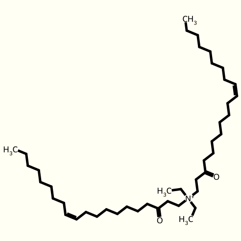 CCCCCCCC/C=C\CCCCCCCC(=O)CC[N+](CC)(CC)CCC(=O)CCCCCCC/C=C\CCCCCCCC